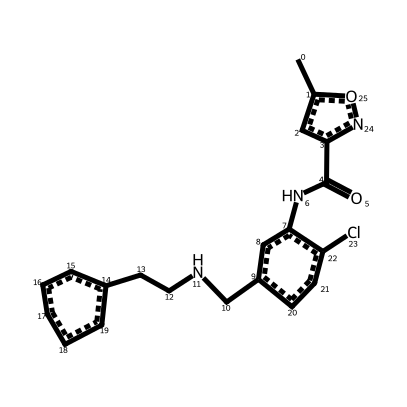 Cc1cc(C(=O)Nc2cc(CNCCc3ccccc3)ccc2Cl)no1